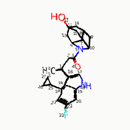 CC(CC(=O)N1C2CC3CC1CC(O)(C3)C2)c1c[nH]c2cc(F)cc(C3CC3)c12